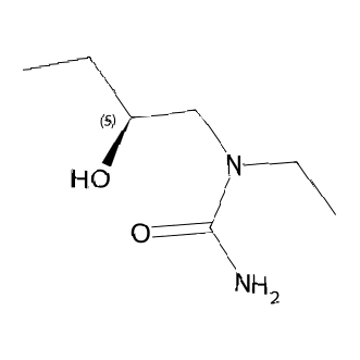 CC[C@H](O)CN(CC)C(N)=O